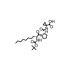 CCCCCCCC[C@H](NC(=O)OC(C)(C)C)C(=O)N1CCC[C@H]1C(=O)NC1(C(=O)O)CC1